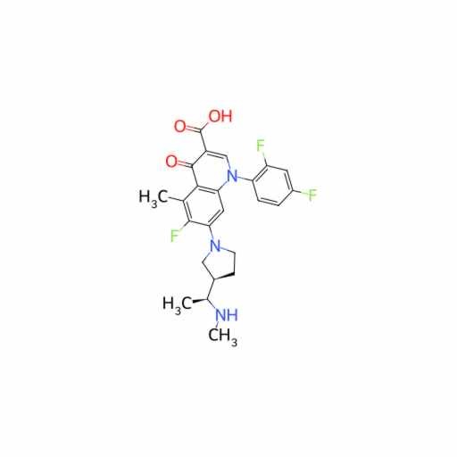 CN[C@@H](C)[C@@H]1CCN(c2cc3c(c(C)c2F)c(=O)c(C(=O)O)cn3-c2ccc(F)cc2F)C1